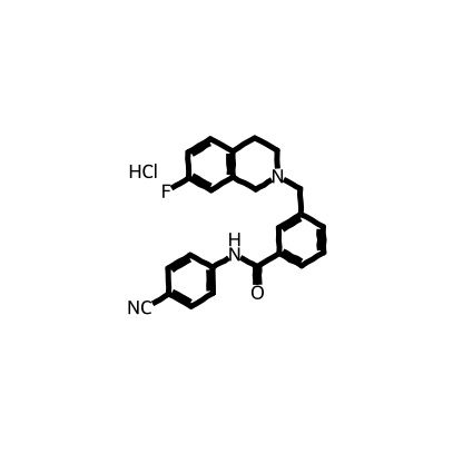 Cl.N#Cc1ccc(NC(=O)c2cccc(CN3CCc4ccc(F)cc4C3)c2)cc1